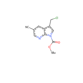 CC(C)(C)OC(=O)n1cc(CCl)c2cc(C#N)cnc21